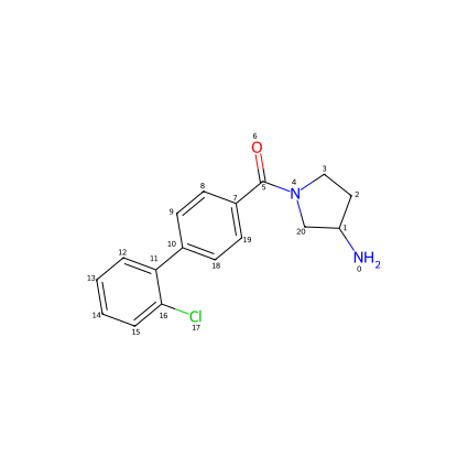 NC1CCN(C(=O)c2ccc(-c3ccccc3Cl)cc2)C1